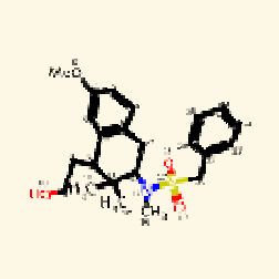 COc1ccc2c(c1)C(CCO)C(C)(C)C(N(C)S(=O)(=O)Cc1ccccc1)C2